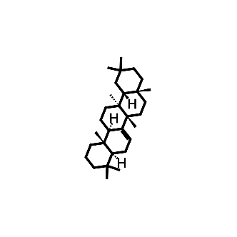 CC1(C)CC[C@]2(C)CC[C@]3(C)C4=CC[C@H]5C(C)(C)CCC[C@]5(C)[C@H]4CC[C@@]3(C)[C@@H]2C1